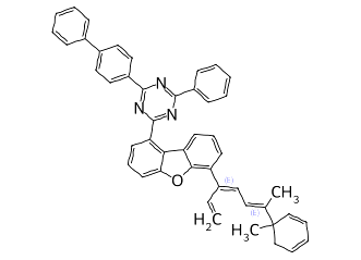 C=C/C(=C\C=C(/C)C1(C)C=CC=CC1)c1cccc2c1oc1cccc(-c3nc(-c4ccccc4)nc(-c4ccc(-c5ccccc5)cc4)n3)c12